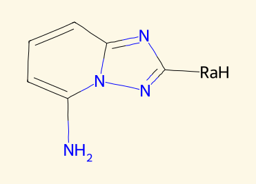 Nc1cccc2n[c]([RaH])nn12